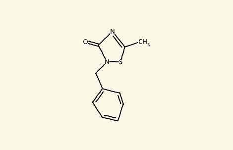 Cc1nc(=O)n(Cc2ccccc2)s1